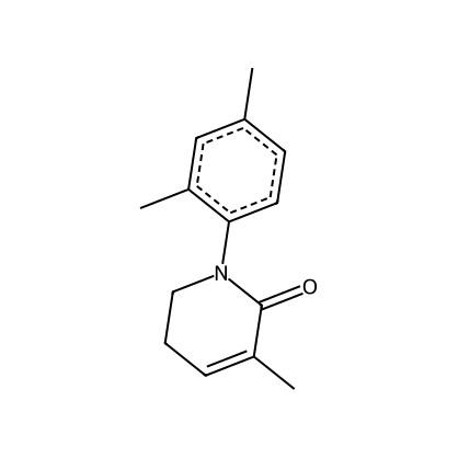 CC1=CCCN(c2ccc(C)cc2C)C1=O